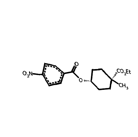 CCOC(=O)[C@]1(C)CC[C@H](OC(=O)c2ccc([N+](=O)[O-])cc2)CC1